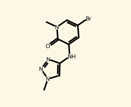 Cn1cc(Nc2cc(Br)cn(C)c2=O)nn1